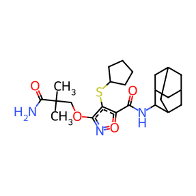 CC(C)(COc1noc(C(=O)NC2C3CC4CC(C3)CC2C4)c1SC1CCCC1)C(N)=O